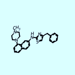 CN1CCN(c2cccc3ccc(Nc4nc(Cc5ccccc5)cs4)cc23)CC1